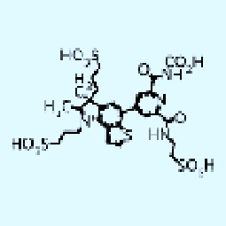 CC1=[N+](CCCS(=O)(=O)O)c2c(cc(-c3cc(C(=O)NCCS(=O)(=O)O)nc(C(=O)NC(=O)O)c3)c3sccc23)C1(C)CCCS(=O)(=O)O